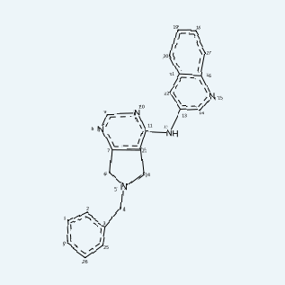 c1ccc(CN2Cc3ncnc(Nc4cnc5ccccc5c4)c3C2)cc1